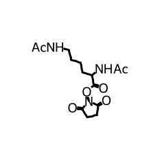 CC(=O)NCCCCC(NC(C)=O)C(=O)ON1C(=O)CCC1=O